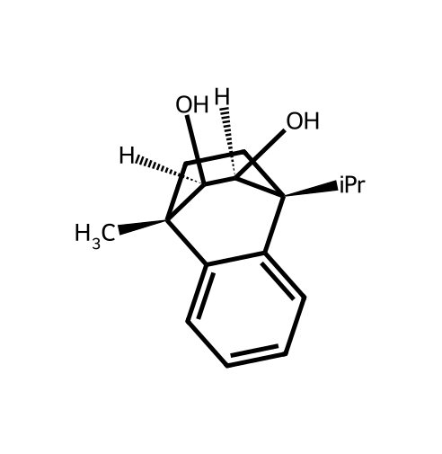 CC(C)[C@@]12CC[C@@](C)(c3ccccc31)[C@@H](O)[C@H]2O